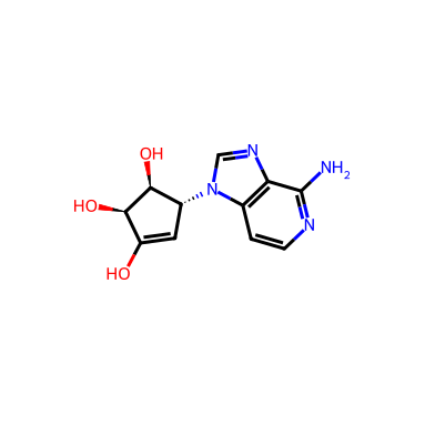 Nc1nccc2c1ncn2[C@@H]1C=C(O)[C@@H](O)[C@H]1O